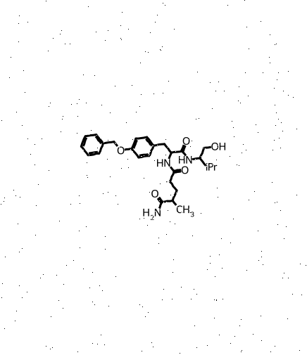 CC(C[CH]C(=O)NC(Cc1ccc(OCc2ccccc2)cc1)C(=O)NC(CO)C(C)C)C(N)=O